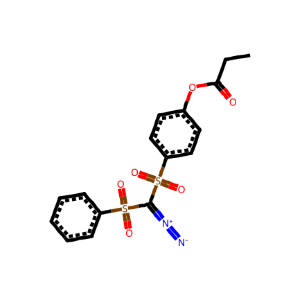 CCC(=O)Oc1ccc(S(=O)(=O)C(=[N+]=[N-])S(=O)(=O)c2ccccc2)cc1